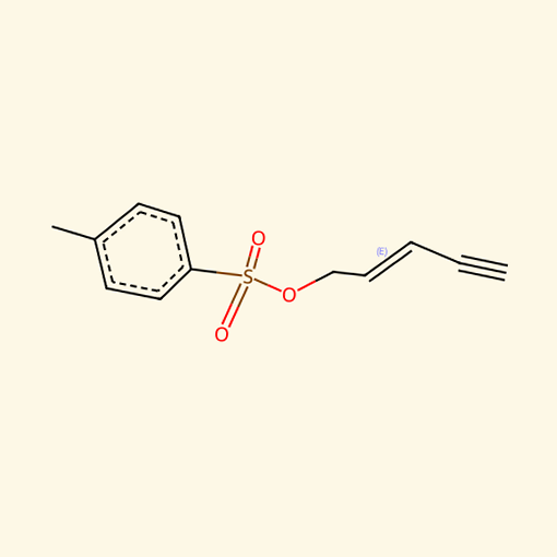 C#C/C=C/COS(=O)(=O)c1ccc(C)cc1